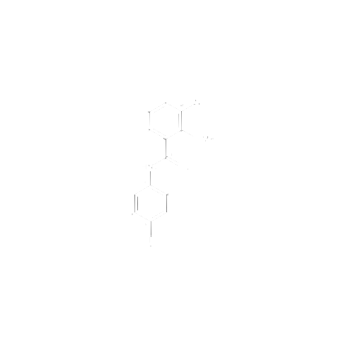 COc1c(C(=O)Nc2ccc(F)cc2)cccc1[N+](=O)[O-]